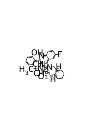 CC(C)(C)NC(=O)[C@@H]1C[C@@H]2CCCC[C@@H]2CN1c1nc(-c2ccccc2O)nc2ccc(F)cc12